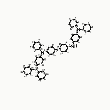 c1ccc(N(c2ccccc2)c2ccc(Nc3ccc(-c4ccc(N(c5ccccc5)c5ccc(N(c6ccccc6)c6ccccc6)cc5)cc4)cc3)cc2)cc1